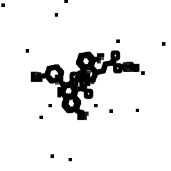 CCC1CCCN(c2nc3ccc(Br)cc3c(C(=O)NCC(CCC(=O)OC(C)(C)C)c3c(F)cccc3C(F)(F)F)c2C)C1